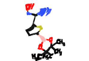 CC1(C)OB(c2ccc(/C(N)=N/O)s2)OC1(C)C